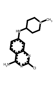 CN1CCC(Nc2ccc3c(N)nc(Cl)nc3c2)CC1